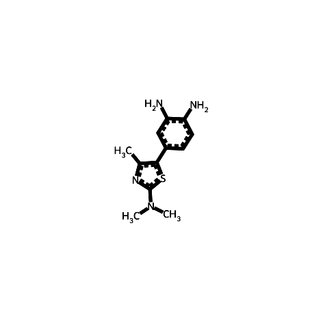 Cc1nc(N(C)C)sc1-c1ccc(N)c(N)c1